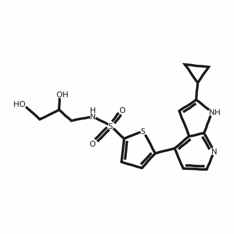 O=S(=O)(NCC(O)CO)c1ccc(-c2ccnc3[nH]c(C4CC4)cc23)s1